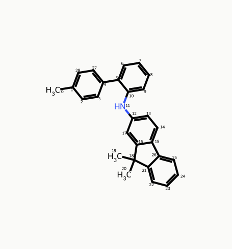 Cc1ccc(-c2ccccc2Nc2ccc3c(c2)C(C)(C)c2ccccc2-3)cc1